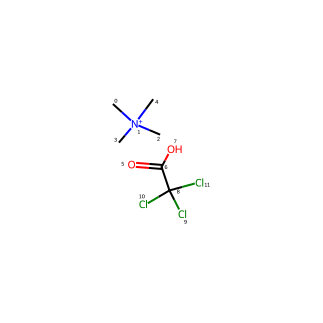 C[N+](C)(C)C.O=C(O)C(Cl)(Cl)Cl